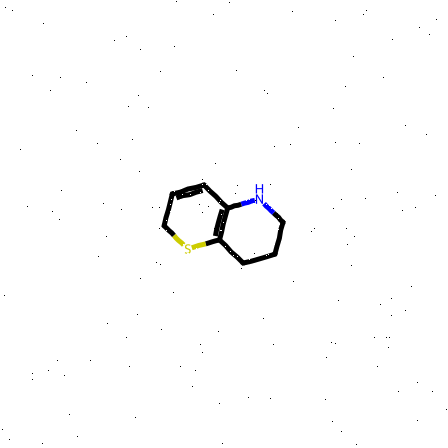 C1=CC2=C(CCCN2)SC1